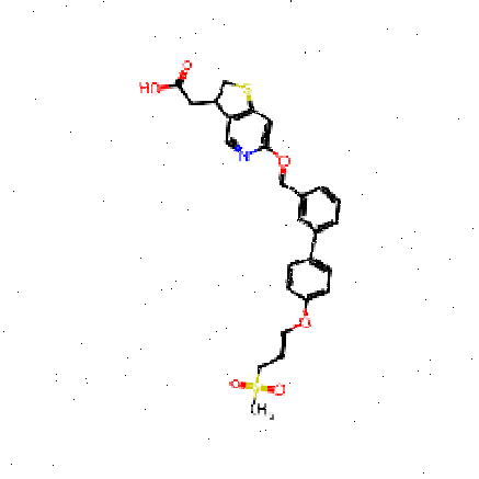 CS(=O)(=O)CCCOc1ccc(-c2cccc(COc3cc4c(cn3)C(CC(=O)O)CS4)c2)cc1